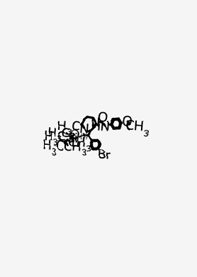 COc1ccc(NC(=O)N2CCCC(C)N3C(C2)C(c2ccc(Br)cc2)[C@H]3CO[Si](C)(C)C(C)(C)C)cc1